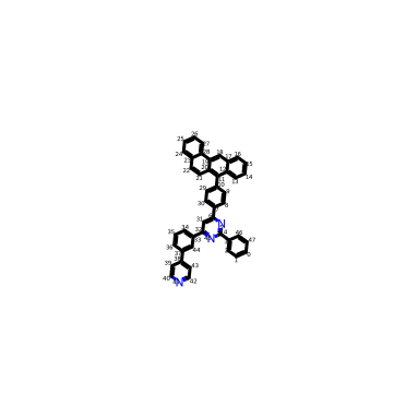 c1ccc(-c2nc(-c3ccc(-c4c5ccccc5cc5c4ccc4ccccc45)cc3)cc(-c3cccc(-c4ccncc4)c3)n2)cc1